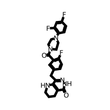 O=C(c1cc(Cc2n[nH]c(=O)c3c2NCCC3)ccc1F)N1CCN(c2ccc(F)cc2F)CC1